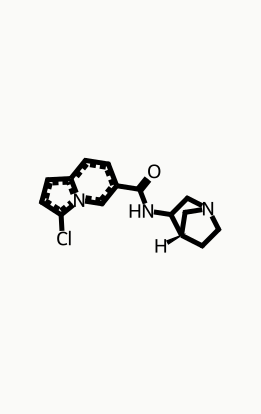 O=C(NC1CN2CC[C@H]1C2)c1ccc2ccc(Cl)n2c1